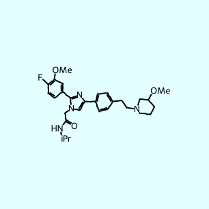 COc1cc(-c2nc(-c3ccc(CCN4CCCC(OC)C4)cc3)cn2CC(=O)NC(C)C)ccc1F